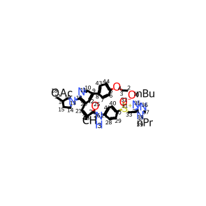 CCCCOCCOc1ccc(-c2cnc(N3CCC(COC(C)=O)C3)c(C=C(C)C(=O)Nc3ccc([S+]([O-])Cc4nncn4CCC)cc3)c2)cc1